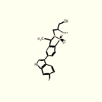 CC1c2cc(-c3c[nH]c4cc(F)ccc34)ccc2S(=O)(=O)N1CC(O)CO